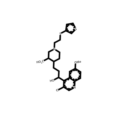 COc1ccc2ncc(Cl)c(C(O)CCC3CCN(CCSc4ccsc4)CC3C(=O)O)c2c1